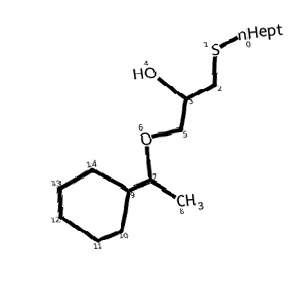 CCCCCCCSCC(O)COC(C)C1CCCCC1